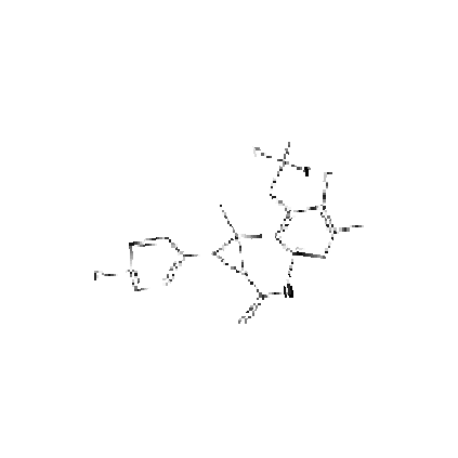 C=C(Nc1cc(C)c(F)c(CC(C)(F)F)c1)C1C(c2ccc(F)cc2)C1(C)C